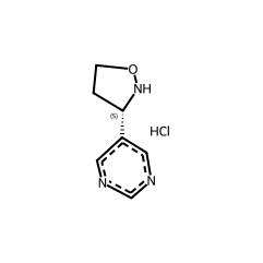 Cl.c1ncc([C@@H]2CCON2)cn1